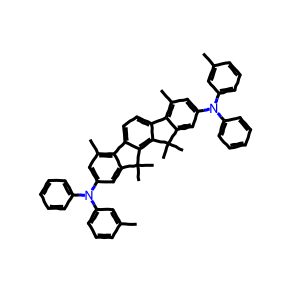 Cc1cccc(N(c2ccccc2)c2cc(C)c3c(c2)C(C)(C)c2c-3ccc3c2C(C)(C)c2cc(N(c4ccccc4)c4cccc(C)c4)cc(C)c2-3)c1